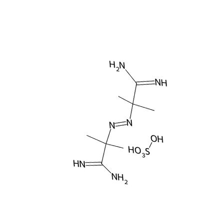 CC(C)(/N=N/C(C)(C)C(=N)N)C(=N)N.O=S(=O)(O)O